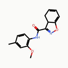 COc1cc(C)ccc1NC(=O)C1=NOC2=CC=CCC21